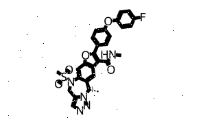 CNC(=O)c1c(-c2ccc(Oc3ccc(F)cc3)cc2)oc2cc3c(cc12)[C@H](C)n1nncc1CN3S(C)(=O)=O